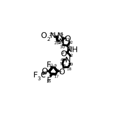 O=C(CN1CCC(Oc2cc(F)c(OC(F)(F)F)c(F)c2)CC1)NC1COc2nc([N+](=O)[O-])cn2C1